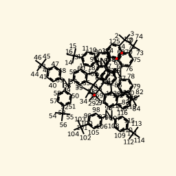 CC(C)(C)c1ccc(N(c2ccc(C(C)(C)C)cc2)c2ccc3c(c2)C(C(C)(C)C)(C2(C(C)(C)C)c4cc(N(c5ccc(C(C)(C)C)cc5)c5ccc(C(C)(C)C)cc5)ccc4-c4c2cc(N(c2ccc(C(C)(C)C)cc2)c2ccc(C(C)(C)C)cc2)c2ccccc42)c2cc(N(c4ccc(C(C)(C)C)cc4)c4ccc(C(C)(C)C)cc4)c4ccccc4c2-3)cc1